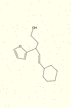 OCCC(C=CC1CCCCC1)c1ccco1